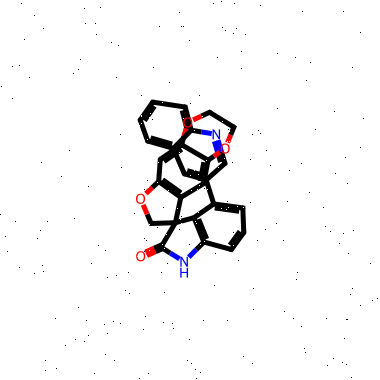 O=C1Nc2cccc(-c3cnc4ccccc4c3)c2C12COc1cc3c(cc12)OCCO3